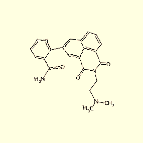 CN(C)CCN1C(=O)c2cccc3cc(-c4ccccc4C(N)=O)cc(c23)C1=O